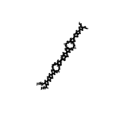 CSC1=C(SC)SC(=C2SC3=C(S2)SC(=C2SC4=C(SCSC5=C(SCS4)SC(=C4SC6=C(SC(=C7SC8=C(SCSC9=C(SCS8)SC(=C8SC%10=C(SC(=C%11SC(CS)=C(CS)S%11)S%10)S8)S9)S7)S6)S4)S5)S2)S3)S1